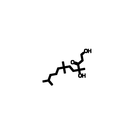 CC(C)CCCC(C)(C)CCC(C)(O)C(=O)CCO